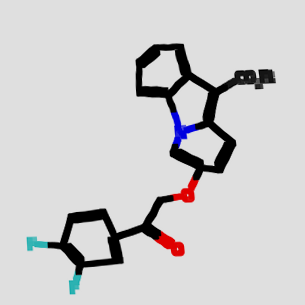 CCOC(=O)c1c2ccccc2n2cc(OCC(=O)c3ccc(F)c(F)c3)ccc12